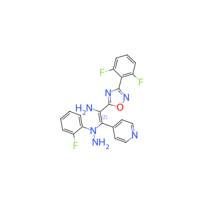 N/C(=C(/c1ccncc1)N(N)c1ccccc1F)c1nc(-c2c(F)cccc2F)no1